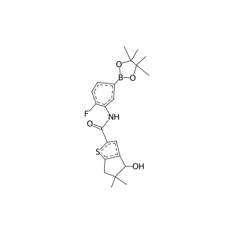 CC1(C)Cc2sc(C(=O)Nc3cc(B4OC(C)(C)C(C)(C)O4)ccc3F)cc2C1O